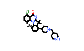 CC(C)(C)c1ccc(Cl)c2c(=O)nc3n(c12)-c1cccc(C2CCN(CC4CCNCC4)CC2)c1C3(C)C